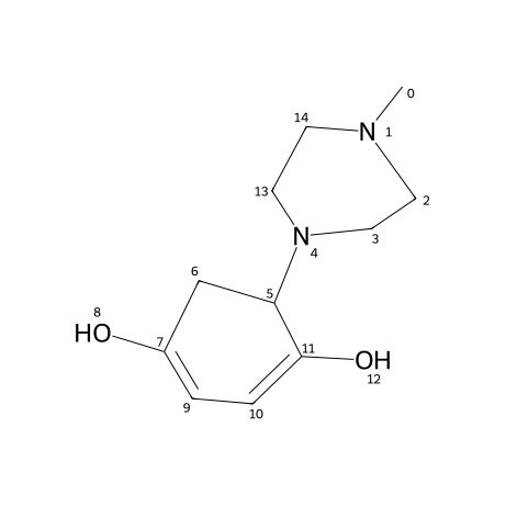 CN1CCN(C2CC(O)=CC=C2O)CC1